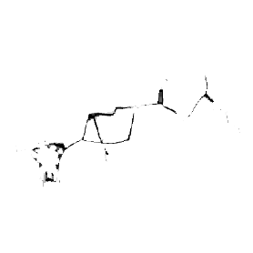 CC(C)OC(=O)N1CC2C(c3nn[nH]n3)[C@H]2C1